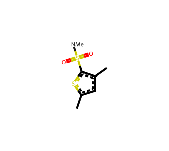 CNS(=O)(=O)c1sc(C)cc1C